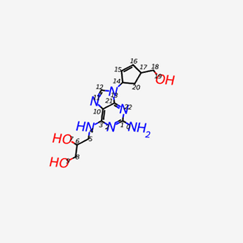 Nc1nc(NCC(O)CO)c2ncn(C3C=CC(CO)C3)c2n1